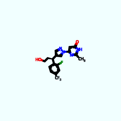 Cc1nc(-n2cc([C@H](CCO)c3ccc(C(F)(F)F)cc3F)cn2)cc(=O)[nH]1